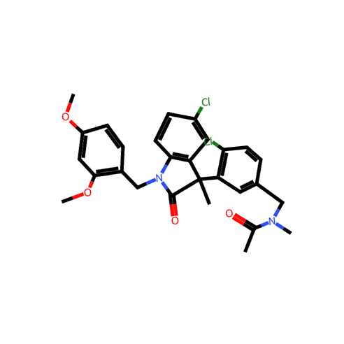 COc1ccc(CN2C(=O)C(C)(c3cc(CN(C)C(C)=O)ccc3Cl)c3cc(Cl)ccc32)c(OC)c1